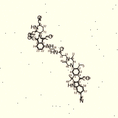 CCc1cc2c(cc1N1CC(C)N(CCC(=O)NCCNc3cccc4c(=C=O)n(C5CCC(=C=O)NC5=C=O)c(=C=O)c34)C(C)C1)C(C)(C)c1[nH]c3cc(C#N)ccc3c1C2=C=O